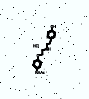 CC(=O)Nc1ccc(OCCNCCc2ccc(O)cc2)cc1.Cl